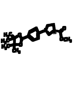 COC(=O)[C@@H]1CCN(c2ccc(B3OC(C)(C)C(C)(C)O3)cc2)C1